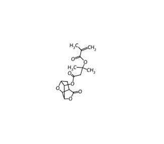 C=C(C)C(=O)OC(C)(C)CC(=O)OC1C2CC3C(=O)OC1C3O2